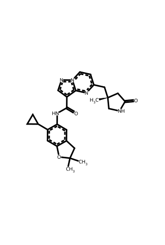 CC1(C)Cc2cc(NC(=O)c3cnn4ccc(C[C@@]5(C)CNC(=O)C5)nc34)c(C3CC3)cc2O1